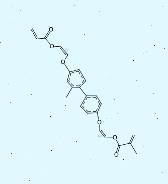 C=CC(=O)O/C=C\Oc1ccc(-c2ccc(O/C=C\OC(=O)C(=C)C)cc2)c(C)c1